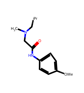 COc1ccc(NC(=O)CN(C)CC(C)C)cc1